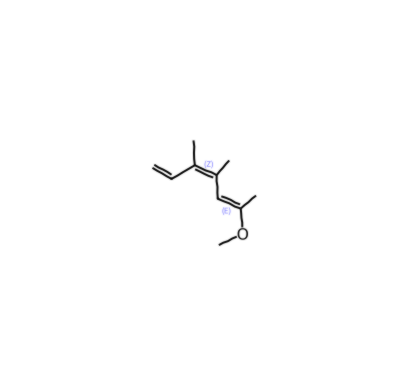 C=C/C(C)=C(C)\C=C(/C)OC